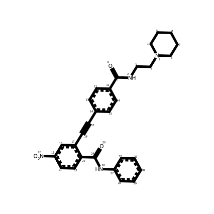 O=C(NCCN1CCCCC1)c1ccc(C#Cc2cc([N+](=O)[O-])ccc2C(=O)Nc2ccccc2)cc1